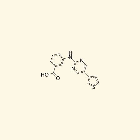 O=C(O)c1cccc(Nc2ncc(-c3ccsc3)cn2)c1